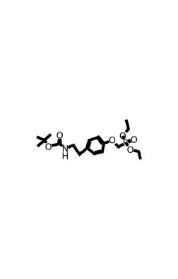 CCOP(=O)(COc1ccc(CCNC(=O)OC(C)(C)C)cc1)OCC